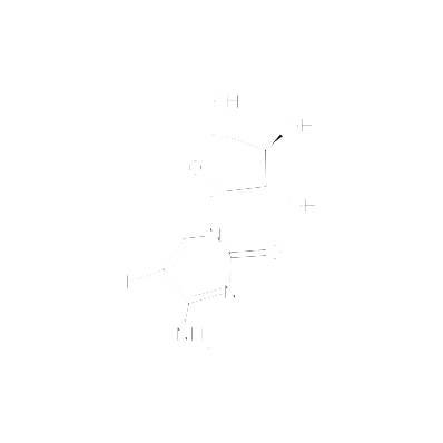 C[C@H]1O[C@@H](n2cc(F)c(N)nc2=O)[C@@H](O)[C@@H]1O